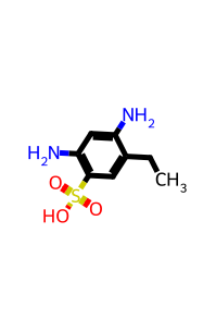 CCc1cc(S(=O)(=O)O)c(N)cc1N